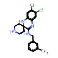 Cc1cccc(CNC2=Nc3cc(Cl)c(Cl)cc3NC23CCNCC3)c1